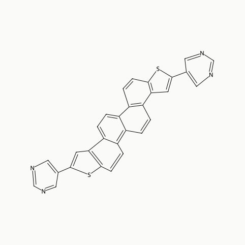 c1ncc(-c2cc3c(ccc4c3ccc3c5ccc6sc(-c7cncnc7)cc6c5ccc43)s2)cn1